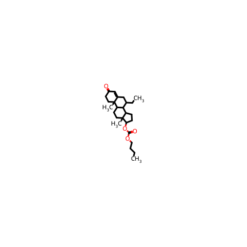 CCCCOC(=O)OC1CCC2C3C(CC)CC4=CC(=O)CCC4(C)C3CCC12C